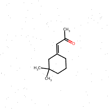 CC(=O)C=C1CCCC(C)(C)C1